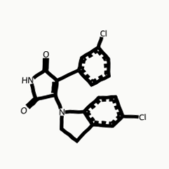 O=C1NC(=O)C(N2CCc3cc(Cl)ccc32)=C1c1cccc(Cl)c1